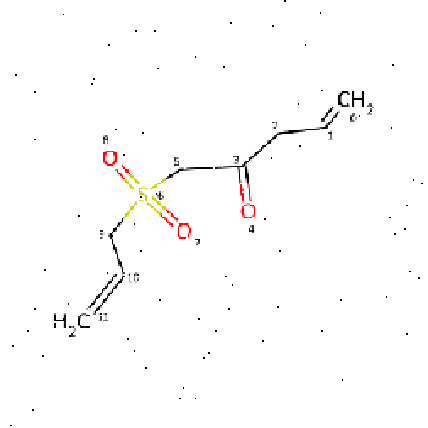 C=CCC(=O)CS(=O)(=O)CC=C